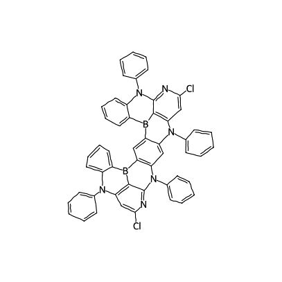 Clc1cc2c3c(n1)N(c1ccccc1)c1ccccc1B3c1cc3c(cc1N2c1ccccc1)N(c1ccccc1)c1nc(Cl)cc2c1B3c1ccccc1N2c1ccccc1